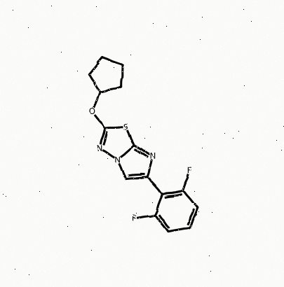 Fc1cccc(F)c1-c1cn2nc(OC3CCCC3)sc2n1